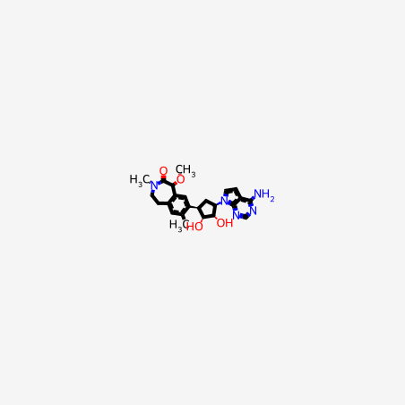 COC1C(=O)N(C)CCc2cc(C)c([C@H]3C[C@@H](n4ccc5c(N)ncnc54)[C@H](O)[C@@H]3O)cc21